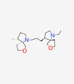 CCN1CC[C@H](CCCN2CC[C@@H](C)[C@@]23CCOC3)[C@]12CCOC2